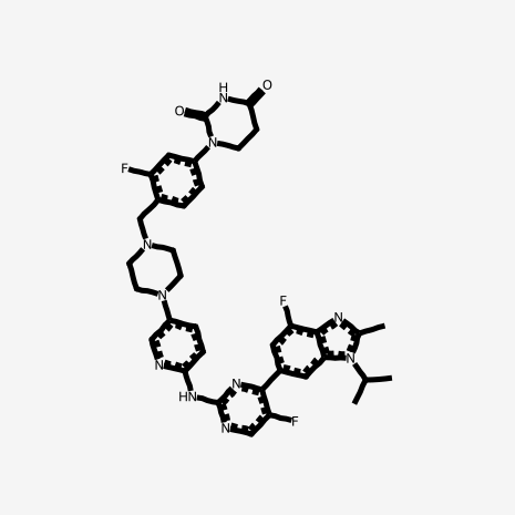 Cc1nc2c(F)cc(-c3nc(Nc4ccc(N5CCN(Cc6ccc(N7CCC(=O)NC7=O)cc6F)CC5)cn4)ncc3F)cc2n1C(C)C